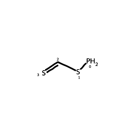 PSC=S